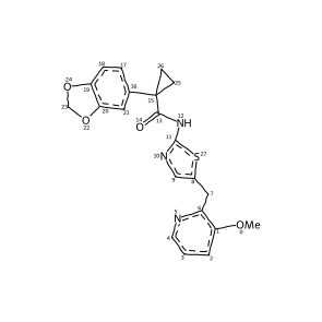 COc1cccnc1Cc1cnc(NC(=O)C2(c3ccc4c(c3)OCO4)CC2)s1